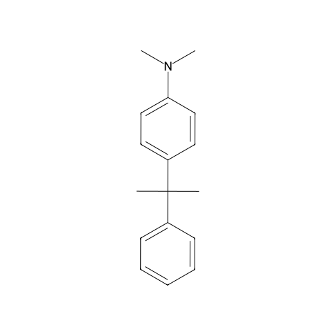 CN(C)c1ccc(C(C)(C)c2ccccc2)cc1